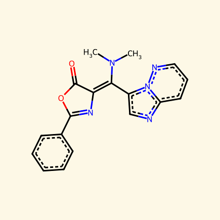 CN(C)C(=C1N=C(c2ccccc2)OC1=O)c1cnc2cccnn12